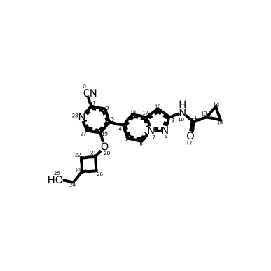 N#Cc1cc(-c2ccn3nc(NC(=O)C4CC4)cc3c2)c(OC2CC(CO)C2)cn1